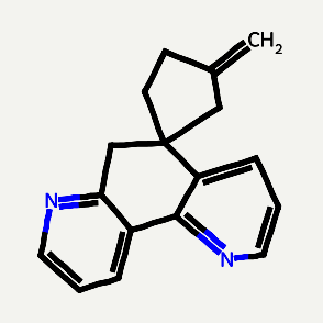 C=C1CCC2(C1)Cc1ncccc1-c1ncccc12